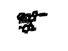 COc1ccc2c(N[C@@H]3C4CCC(CC4)[C@H]3C(=O)O)nc(-c3c[nH]c4ncc(F)cc34)nn12